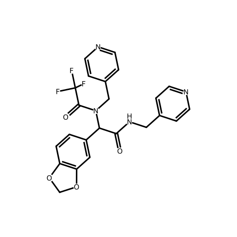 O=C(NCc1ccncc1)C(c1ccc2c(c1)OCO2)N(Cc1ccncc1)C(=O)C(F)(F)F